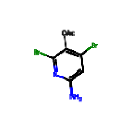 CC(=O)Oc1c(Br)cc(N)nc1Br